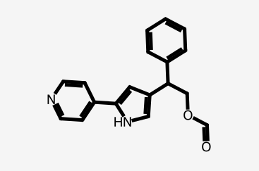 O=COCC(c1ccccc1)c1c[nH]c(-c2ccncc2)c1